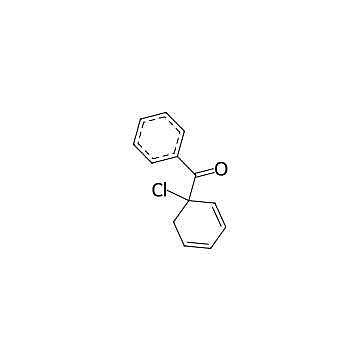 O=C(c1ccccc1)C1(Cl)C=CC=CC1